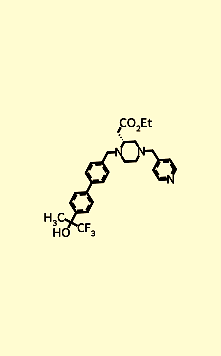 CCOC(=O)C[C@@H]1CN(Cc2ccncc2)CCN1Cc1ccc(-c2ccc(C(C)(O)C(F)(F)F)cc2)cc1